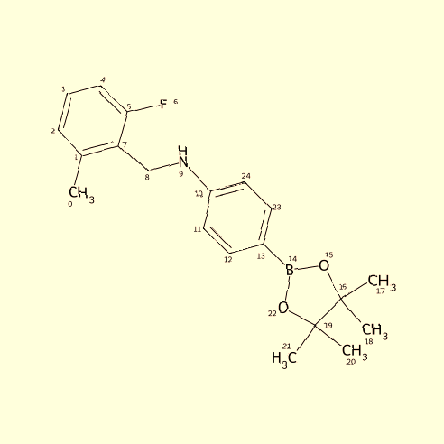 Cc1cccc(F)c1CNc1ccc(B2OC(C)(C)C(C)(C)O2)cc1